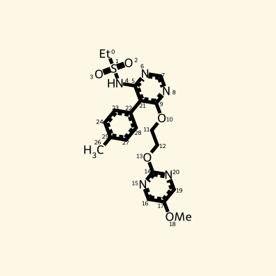 CCS(=O)(=O)Nc1ncnc(OCCOc2ncc(OC)cn2)c1-c1ccc(C)cc1